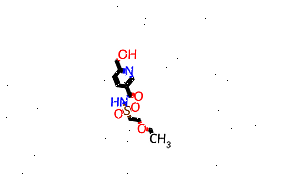 CCOCCS(=O)(=O)NC(=O)c1ccc(CO)nc1